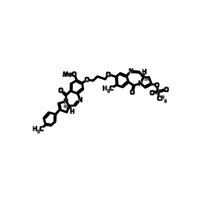 COc1cc2c(cc1OCCCOc1cc3c(cc1C)C(=O)N1C=C(OS(=O)(=O)C(F)(F)F)C[C@H]1C=N3)N=C[C@@H]1CC(c3ccc(C)cc3)=CN1C2=O